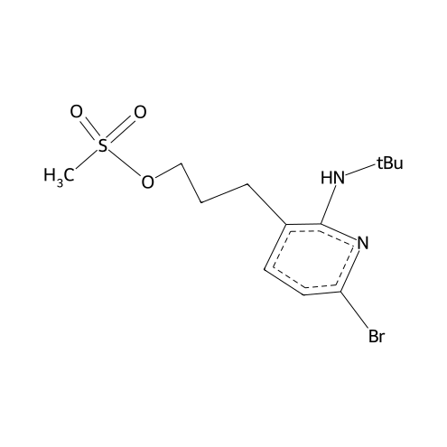 CC(C)(C)Nc1nc(Br)ccc1CCCOS(C)(=O)=O